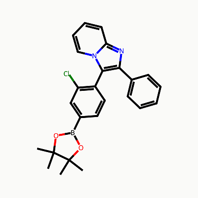 CC1(C)OB(c2ccc(-c3c(-c4ccccc4)nc4ccccn34)c(Cl)c2)OC1(C)C